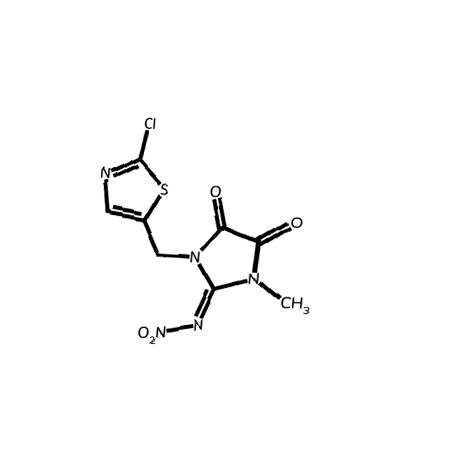 CN1C(=O)C(=O)N(Cc2cnc(Cl)s2)C1=N[N+](=O)[O-]